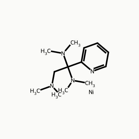 CN(C)CC(c1ccccn1)(N(C)C)N(C)C.[Ni]